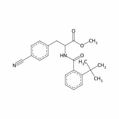 COC(=O)C(Cc1ccc(C#N)cc1)NC(=O)c1ccccc1C(C)(C)C